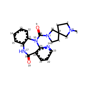 CN1CCC2(CCN(C(=O)N3c4ccccc4NC(=O)c4cccnc43)C2)C1